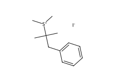 C[S+](C)C(C)(C)Cc1ccccc1.[I-]